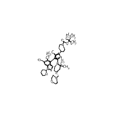 Cc1c(-c2c(Cl)c(Cl)cc3c2cnn3C2CCCCO2)c(N2CC[C@@H](CN3CCOCC3)CC2(C)C)nn1C1CCN(C(=O)OC(C)(C)C)CC1